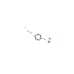 CCCCOCCOc1ccc(B2OC(C)(C)C(C)(C)O2)cc1